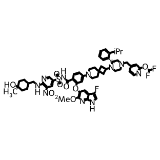 COc1nc2[nH]cc(F)c2cc1Oc1cc(N2CCC3(CC2)CC(N2CCN(Cc4ccnc(OC(F)F)c4)C[C@H]2c2ccccc2C(C)C)C3)ccc1C(=O)NS(=O)(=O)c1cnc(NCC2CCC(C)(O)CC2)c([N+](=O)[O-])c1